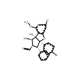 COc1nc(Cl)cc2c1[C@]1(O)[C@H](O)[C@H](C=O)[C@@H](c3ccccc3)[C@]1(c1ccc(Br)cc1)O2